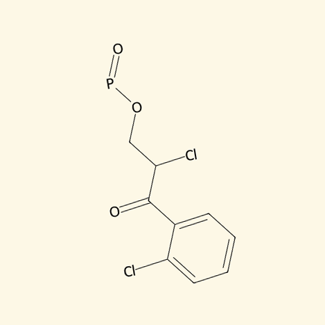 O=POCC(Cl)C(=O)c1ccccc1Cl